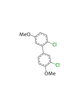 COc1ccc(Cl)c(-c2ccc(OC)c(Cl)c2)c1